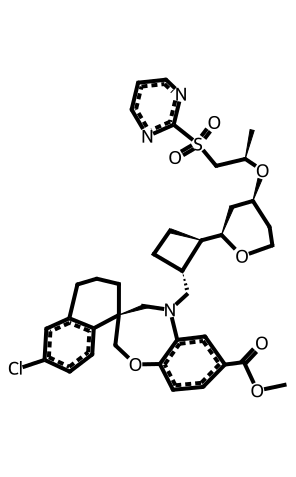 COC(=O)c1ccc2c(c1)N(C[C@@H]1CC[C@H]1[C@H]1C[C@@H](O[C@H](C)CS(=O)(=O)c3ncccn3)CCO1)C[C@@]1(CCCc3cc(Cl)ccc31)CO2